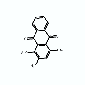 CC(=O)Oc1cc(C)c(OC(C)=O)c2c1C(=O)c1ccccc1C2=O